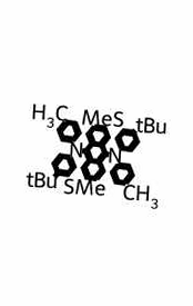 CSc1ccc2c(N(c3ccc(C)cc3)c3ccc(C(C)(C)C)cc3)c3cc(SC)ccc3c(N(c3ccc(C)cc3)c3ccc(C(C)(C)C)cc3)c2c1